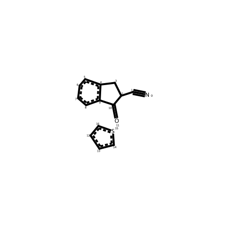 N#CC1Cc2ccccc2C1=O.c1ccsc1